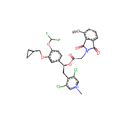 COc1cccc2c1C(=O)N(CC(=O)O[C@@H](Cc1c(Cl)c[n+](C)cc1Cl)c1ccc(OC(F)F)c(OCC3CC3)c1)C2=O